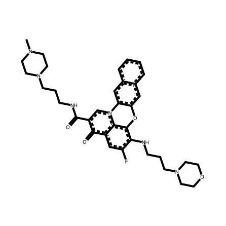 CN1CCN(CCCNC(=O)c2cn3c4c(c(NCCCN5CCOCC5)c(F)cc4c2=O)Oc2cc4ccccc4cc2-3)CC1